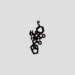 CC1(NC(=O)CN2C3CCC2CC(CNC(=O)c2cccc(F)c2)C3)COC1